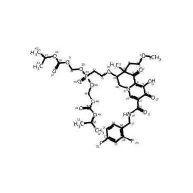 COCCC1(C)C(=O)c2c(O)c(=O)c(C(=O)NCc3ccc(F)cc3F)cn2CC1OCCP(=O)(OCOC(=O)OC(C)C)OCOC(=O)OC(C)C